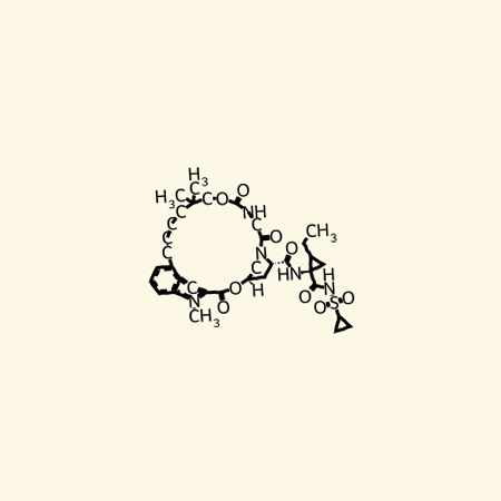 CCC1C[C@]1(NC(=O)[C@@H]1C[C@@H]2CN1C(=O)CNC(=O)OCC(C)(C)CCCCc1cccc3c1cc(n3C)C(=O)O2)C(=O)NS(=O)(=O)C1CC1